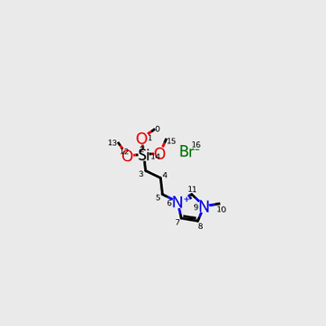 CO[Si](CCC[n+]1ccn(C)c1)(OC)OC.[Br-]